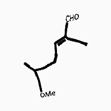 COC(C)C/C=C(\C)C=O